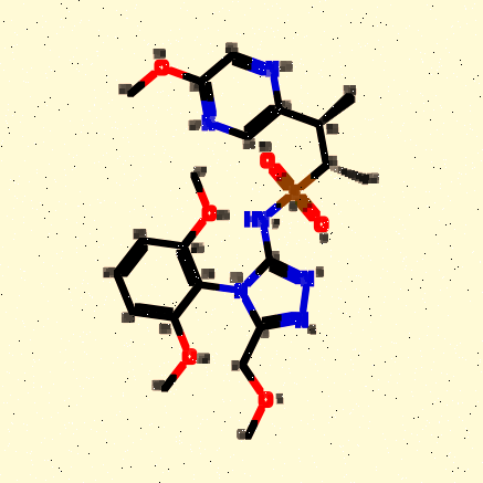 COCc1nnc(NS(=O)(=O)[C@@H](C)[C@H](C)c2cnc(OC)cn2)n1-c1c(OC)cccc1OC